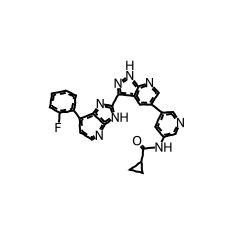 O=C(Nc1cncc(-c2cnc3[nH]nc(-c4nc5c(-c6ccccc6F)ccnc5[nH]4)c3c2)c1)C1CC1